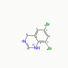 Brc1cc(Br)c2c(c1)CN=CN2